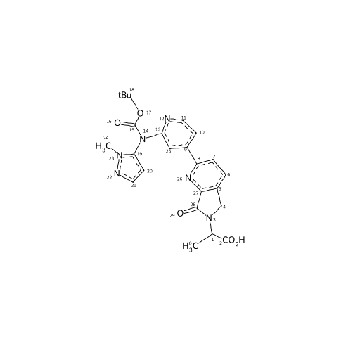 CC(C(=O)O)N1Cc2ccc(-c3ccnc(N(C(=O)OC(C)(C)C)c4ccnn4C)c3)nc2C1=O